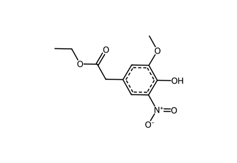 CCOC(=O)Cc1cc(OC)c(O)c([N+](=O)[O-])c1